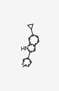 c1cc(-c2cc3ccc(C4CC4)cc3[nH]2)cs1